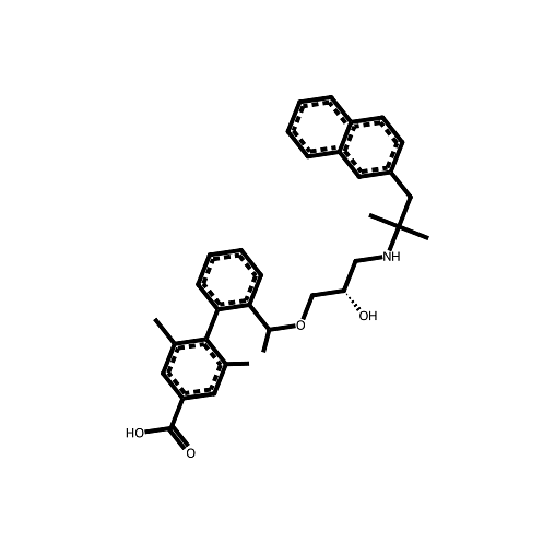 Cc1cc(C(=O)O)cc(C)c1-c1ccccc1C(C)OC[C@@H](O)CNC(C)(C)Cc1ccc2ccccc2c1